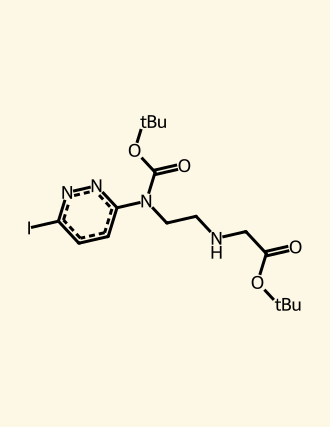 CC(C)(C)OC(=O)CNCCN(C(=O)OC(C)(C)C)c1ccc(I)nn1